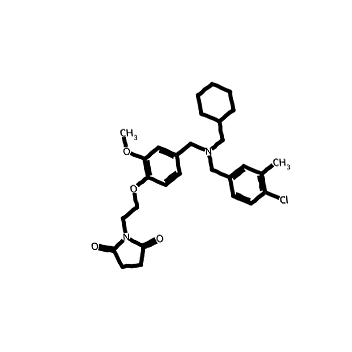 COc1cc(CN(Cc2ccc(Cl)c(C)c2)CC2CCCCC2)ccc1OCCN1C(=O)CCC1=O